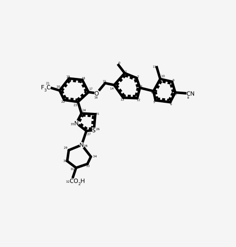 Cc1cc(-c2ccc(C#N)cc2C)ccc1COc1ccc(C(F)(F)F)cc1-c1csc(N2CCC(C(=O)O)CC2)n1